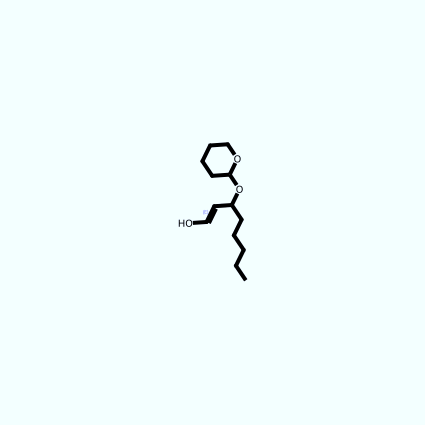 CCCCCC(/C=C/O)OC1CCCCO1